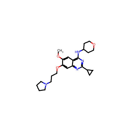 COc1cc2c(NC3CCOCC3)nc(C3CC3)nc2cc1OCCCN1CCCC1